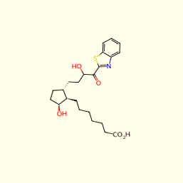 O=C(O)CCCCCC[C@@H]1[C@@H](CCC(O)C(=O)c2nc3ccccc3s2)CC[C@@H]1O